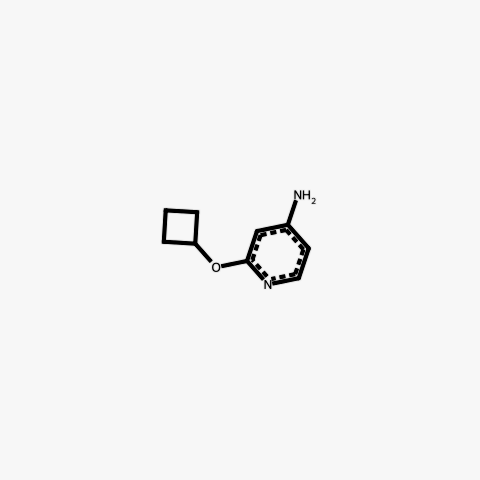 Nc1ccnc(OC2CCC2)c1